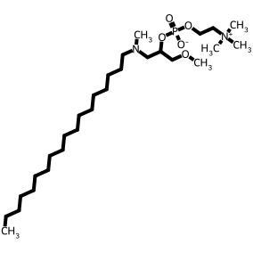 CCCCCCCCCCCCCCCCCCN(C)CC(COC)OP(=O)([O-])OCC[N+](C)(C)C